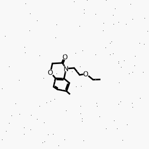 CCOCCN1C(=O)COc2ccc(C)cc21